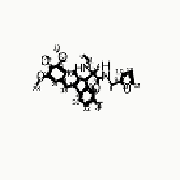 CCNC(C)(C(=O)NCc1ccco1)C1C(C)=C(C=C2C=C(OC)C(=O)C(OC)=C2)c2ccc(F)cc21